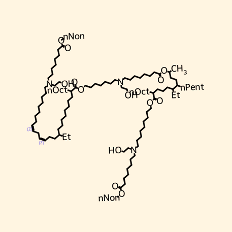 CCCCCCCCCOC(=O)CCCCCCCN(CCO)CCCCCCCC/C=C\C/C=C\CCC(CC)CCCCCCCCC(CCCCCCCC)C(=O)OCCCCCCCN(CCO)CCCCCCCC(=O)OC(C)CCC(CCCCC)C(CC)CCCC(CCCCCCCC)C(=O)OCCCCCCCCCN(CCO)CCCCCCCC(=O)OCCCCCCCCC